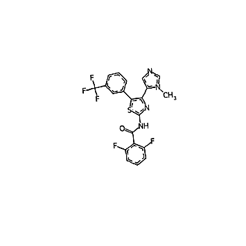 Cn1cncc1-c1nc(NC(=O)c2c(F)cccc2F)sc1-c1cccc(C(F)(F)F)c1